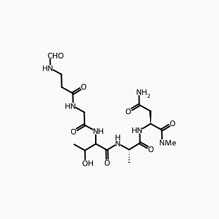 CNC(=O)[C@H](CC(N)=O)NC(=O)[C@H](C)NC(=O)C(NC(=O)CNC(=O)CCNC=O)C(C)O